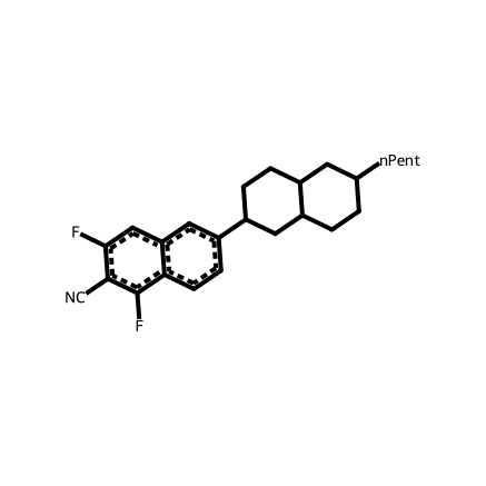 CCCCCC1CCC2CC(c3ccc4c(F)c(C#N)c(F)cc4c3)CCC2C1